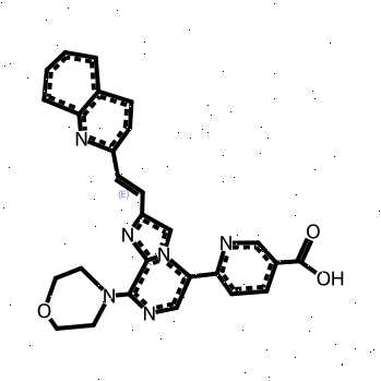 O=C(O)c1ccc(-c2cnc(N3CCOCC3)c3nc(/C=C/c4ccc5ccccc5n4)cn23)nc1